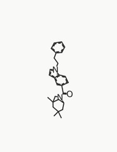 CC1(C)CC2CC(C)(CN2C(=O)c2ccc3c(ccn3CCc3ccccc3)c2)C1